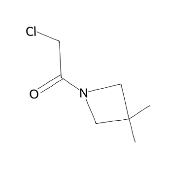 CC1(C)CN(C(=O)CCl)C1